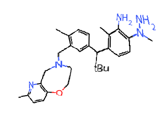 Cc1ccc2c(n1)CN(Cc1cc(C(c3ccc(N(C)N)c(N)c3C)C(C)(C)C)ccc1C)CCO2